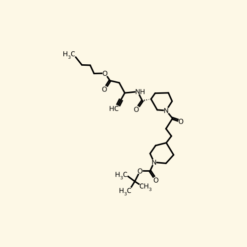 C#CC(CC(=O)OCCCC)NC(=O)[C@@H]1CCCN(C(=O)CCC2CCN(C(=O)OC(C)(C)C)CC2)C1